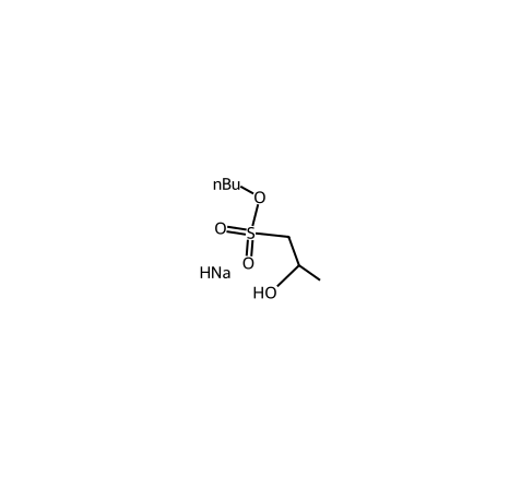 CCCCOS(=O)(=O)CC(C)O.[NaH]